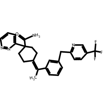 CC(=C1CCC(C(N)=O)(c2cccnn2)CC1)c1cccc(Cc2ccc(C(F)(F)F)cn2)c1